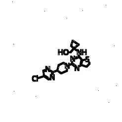 OCC1(Nc2nc(N3CCC(c4ncc(Cl)cn4)CC3)nc3c2SCC3)CCC1